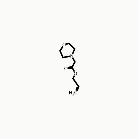 C=CCOC(=O)CN1CCOCC1